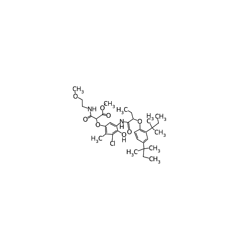 CCC(Oc1ccc(C(C)(C)CC)cc1C(C)(C)CC)C(=O)Nc1cc(OC(C(=O)NCCOC)C(=O)OC)c(C)c(Cl)c1O